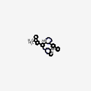 CC1(C)C2=C(C=CCC2)c2cc(-c3cc(/C=C4/C=C\c5cccnc5C(N)\C=C/4)cc(C4\C=C(c5ccc(-c6ccccc6)cc5)/C=C/C=C\C=C/N4)c3)ccc21